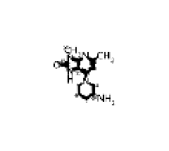 Cc1cc(N2CCC[C@@H](N)C2)c2[nH]c(=O)n(C)c2n1